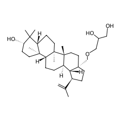 C=C(C)[C@@H]1CC[C@]2(COCC(O)CO)CC[C@]3(C)[C@H](CC[C@@H]4[C@@]5(C)CC[C@H](O)C(C)(C)[C@@H]5CC[C@]43C)[C@@H]12